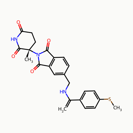 C=C(NCc1ccc2c(c1)C(=O)N([C@@]1(C)CCC(=O)NC1=O)C2=O)c1ccc(SC)cc1